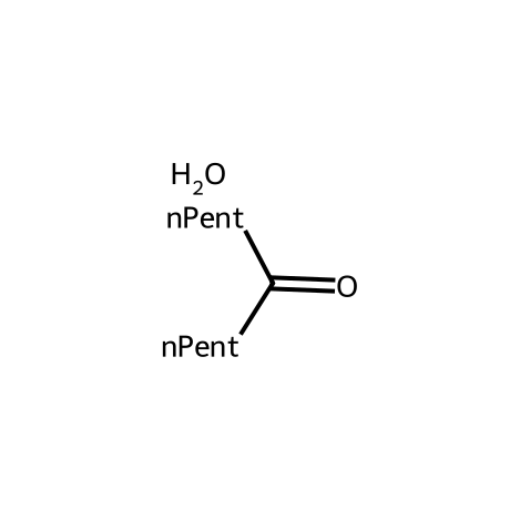 CCCCCC(=O)CCCCC.O